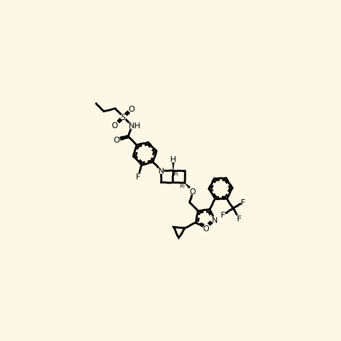 CCCS(=O)(=O)NC(=O)c1ccc(N2CC3[C@H]2C[C@H]3OCc2c(-c3ccccc3C(F)(F)F)noc2C2CC2)c(F)c1